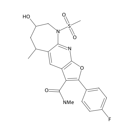 CNC(=O)c1c(-c2ccc(F)cc2)oc2nc3c(cc12)C(C)CC(O)CN3S(C)(=O)=O